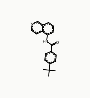 CC(C)(C)c1ccc(C(=O)Nc2cccc3cnccc23)cc1